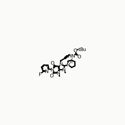 CC#CCN1c2c(n(C)c(=O)n(-c3cccc(F)n3)c2=O)N(C)C1N1CCC[C@@H](NC(=O)OC(C)(C)C)C1